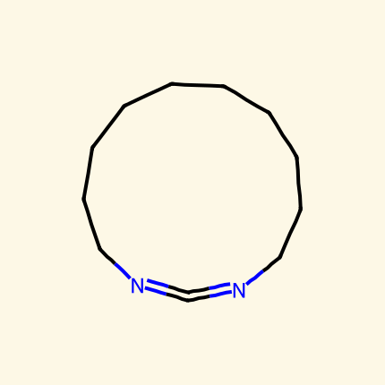 C1=NCCCCCCCCCCN=1